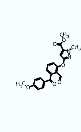 COC(=O)c1cc(Oc2cccc(C(=O)c3ccc(OC)cc3)c2C=O)nn1C